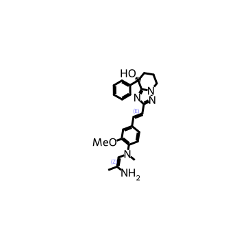 COc1cc(/C=C/c2nc3n(n2)CCC[C@@]3(O)c2ccccc2)ccc1N(C)/C=C(/C)N